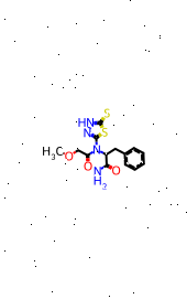 COCC(=O)N(c1n[nH]c(=S)s1)C(Cc1ccccc1)C(N)=O